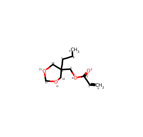 C=CC(=O)OCC1(CCC)COCOC1